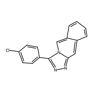 Clc1ccc(-c2nnc3cc4ccccc4cn23)cc1